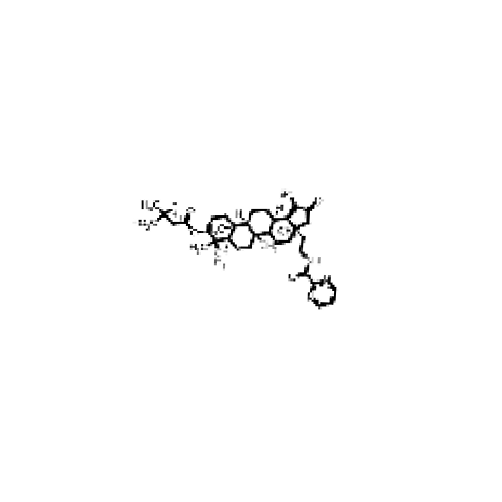 CC(C)C1=C2[C@H]3CC[C@@H]4[C@@]5(C)CC[C@H](OC(=O)CC(C)(C)C(=O)O)C(C)(C)[C@@H]5CC[C@@]4(C)[C@]3(C)CC[C@@]2(CCNC(=O)c2ncccn2)CC1=O